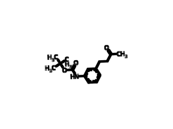 CC(=O)CCc1cccc(NC(=O)OC(C)(C)C)c1